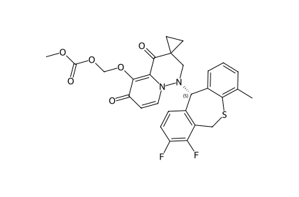 COC(=O)OCOc1c2n(ccc1=O)N([C@H]1c3ccc(F)c(F)c3CSc3c(C)cccc31)CC1(CC1)C2=O